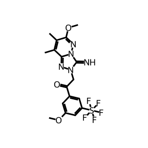 COc1cc(C(=O)Cn2nc3c(C)c(C)c(OC)nn3c2=N)cc(S(F)(F)(F)(F)F)c1